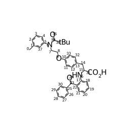 Cc1cccc(N(CCOc2ccc(CC(Nc3ccccc3C(=O)c3ccccc3)C(=O)O)cc2)C(=O)C(C)(C)C)c1